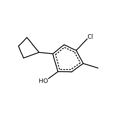 Cc1cc(O)c(C2CCC2)cc1Cl